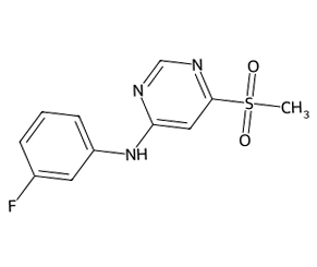 CS(=O)(=O)c1cc(Nc2cccc(F)c2)ncn1